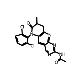 CC(=O)Nc1ncc2cc3c(nc2n1)CC(C)C(=O)N3c1c(Cl)cccc1Cl